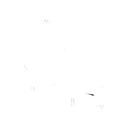 COC(=O)[C@@H]1C[C@@]2(CN1)CC(=O)c1c(c(C)nc3ccc(OC)cc13)O2